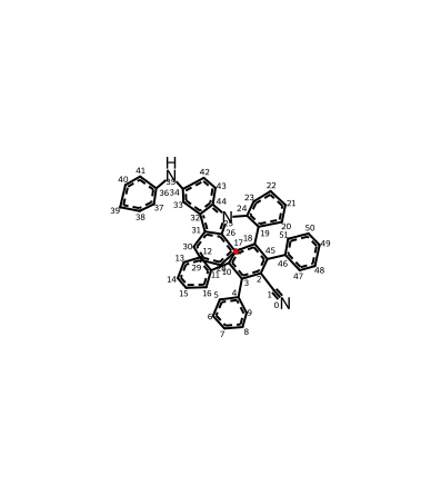 N#Cc1c(-c2ccccc2)c(-c2ccccc2)cc(-c2ccccc2-n2c3ccccc3c3cc(Nc4ccccc4)ccc32)c1-c1ccccc1